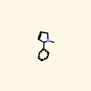 CN1CC=CC1c1ccccc1